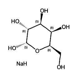 OC[C@H]1O[C@H](O)[C@H](O)[C@@H](O)[C@H]1O.[NaH]